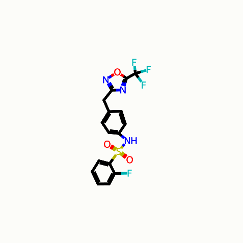 O=S(=O)(Nc1ccc(Cc2noc(C(F)(F)F)n2)cc1)c1ccccc1F